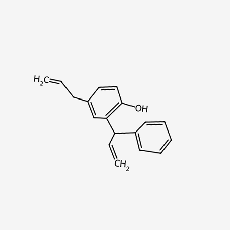 C=CCc1ccc(O)c(C(C=C)c2ccccc2)c1